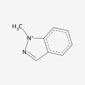 C[N+]1N=Cc2ccccc21